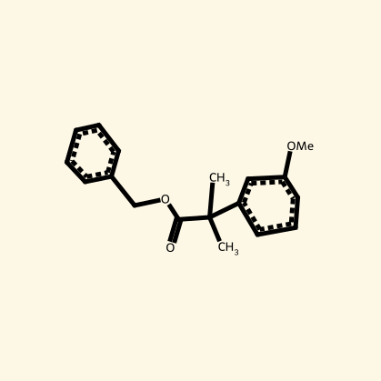 COc1cccc(C(C)(C)C(=O)OCc2ccccc2)c1